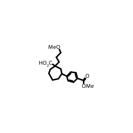 COCCCC1(C(=O)O)CCCCC(c2ccc(C(=O)OC)cc2)C1